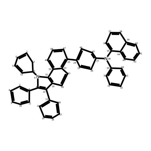 C1=CCC(n2c(-c3ccccc3)c(-c3ccccc3)c3ccc4c(-c5ccc(N(c6ccccc6)c6cccc7ccccc67)cc5)cccc4c32)C=C1